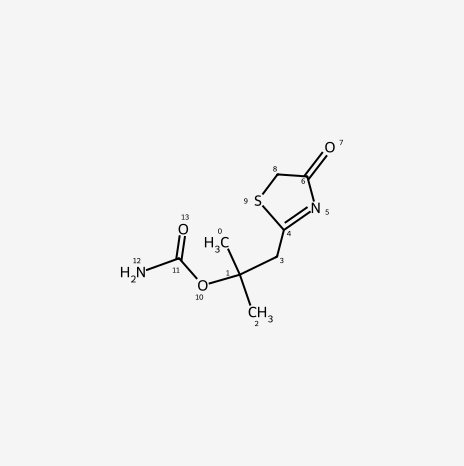 CC(C)(CC1=NC(=O)CS1)OC(N)=O